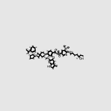 CC[C@@](C)(O)CCCCNc1ncc(S(=O)(=O)NC(=O)c2ccc(N3CCC4(CC3)CN([C@@H]3CCC[C@@H]3c3ccccc3C(C)C)C4)cc2Oc2cc3c(F)c[nH]c3nc2OC)cc1[N+](=O)[O-]